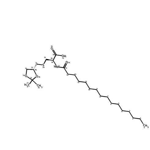 CCCCCCCCCCCCCCCC(=O)N[C@@H](CSC[C@H]1COC(C)(C)O1)C(=O)O